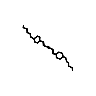 CCCCCCC1CCC(C=CC#CC=CC2CCC(CCCCCC)CC2)CC1